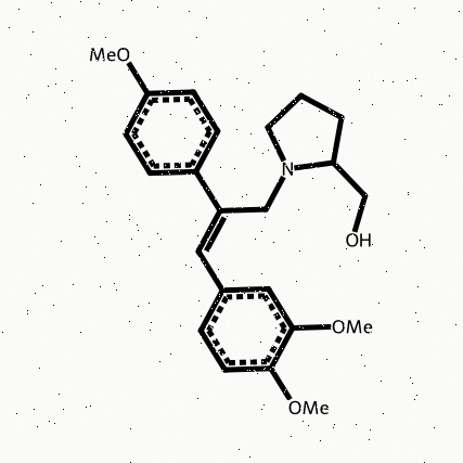 COc1ccc(C(=Cc2ccc(OC)c(OC)c2)CN2CCCC2CO)cc1